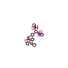 c1cc(-c2cc(-c3nc4ccccc4o3)cc(-c3nc4ccccc4o3)c2)cc(-c2ccc3c(c2)C2(c4ccccc4Oc4ccccc42)c2ccc4ccccc4c2-3)c1